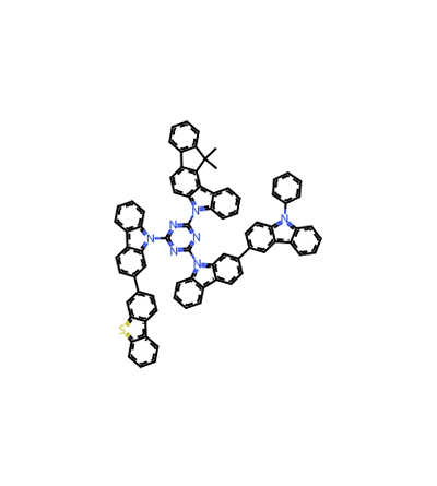 CC1(C)c2ccccc2-c2ccc3c(c21)c1ccccc1n3-c1nc(-n2c3ccccc3c3ccc(-c4ccc5c(c4)sc4ccccc45)cc32)nc(-n2c3ccccc3c3ccc(-c4ccc5c(c4)c4ccccc4n5-c4ccccc4)cc32)n1